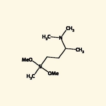 CO[Si](C)(CCC(C)N(C)C)OC